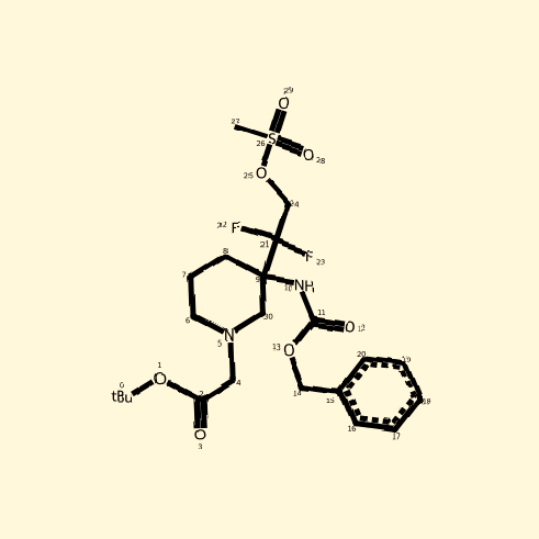 CC(C)(C)OC(=O)CN1CCCC(NC(=O)OCc2ccccc2)(C(F)(F)COS(C)(=O)=O)C1